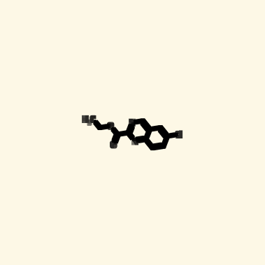 CCOC(=O)c1ncc2cc(Cl)ccc2n1